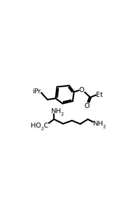 CCC(=O)Oc1ccc(CC(C)C)cc1.NCCCCC(N)C(=O)O